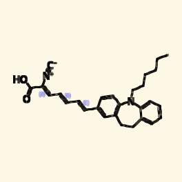 [C-]#[N+]\C(=C/C=C/C=C/c1ccc2c(c1)CCc1ccccc1N2CCCCCC)C(=O)O